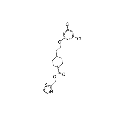 O=C(OCc1nccs1)N1CCC(CCOc2cc(Cl)cc(Cl)c2)CC1